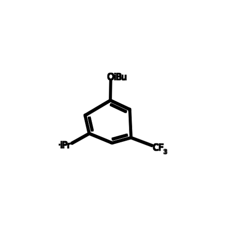 C[C](C)c1cc(OCC(C)C)cc(C(F)(F)F)c1